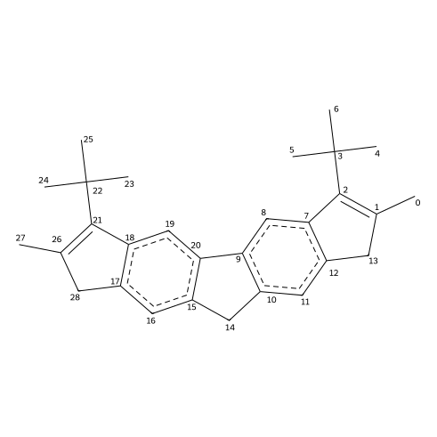 CC1=C(C(C)(C)C)c2cc3c(cc2C1)Cc1cc2c(cc1-3)C(C(C)(C)C)=C(C)C2